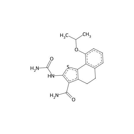 CC(C)Oc1cccc2c1-c1sc(NC(N)=O)c(C(N)=O)c1CC2